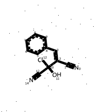 N#CC(=Cc1ccccc1)C(O)(Cl)C#N